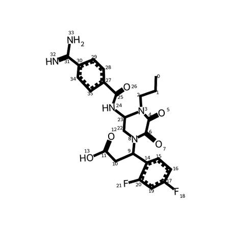 CCCN1C(=O)C(=O)N(C(CC(=O)O)c2ccc(F)cc2F)CC1NC(=O)c1ccc(C(=N)N)cc1